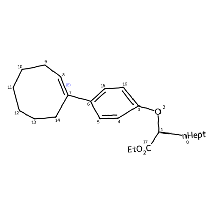 CCCCCCCC(Oc1ccc(/C2=C/CCCCCC2)cc1)C(=O)OCC